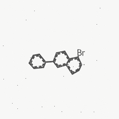 Brc1[c]ccc2cc(-c3ccccc3)ccc12